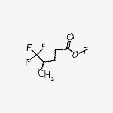 CC(CCC(=O)OF)C(F)(F)F